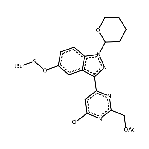 CC(=O)OCc1nc(Cl)cc(-c2nn(C3CCCCO3)c3ccc(OSC(C)(C)C)cc23)n1